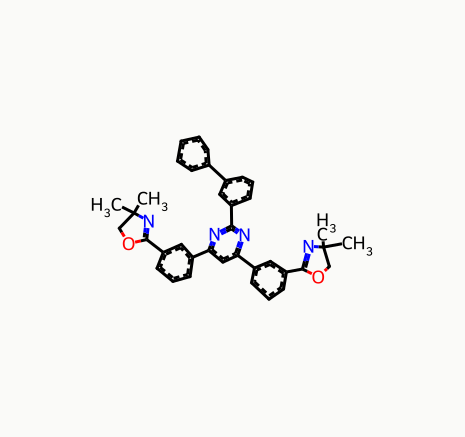 CC1(C)COC(c2cccc(-c3cc(-c4cccc(C5=NC(C)(C)CO5)c4)nc(-c4cccc(-c5ccccc5)c4)n3)c2)=N1